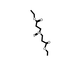 CCOC(=O)C[CH2][Sn](=[S])[CH2]CC(=O)OCC